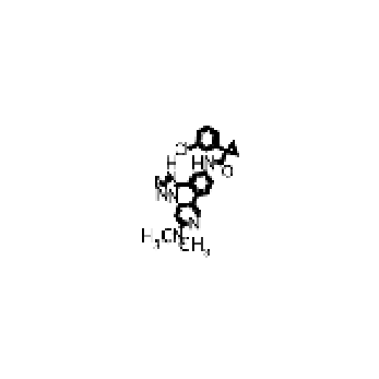 CN(C)c1ccc(-c2ccc(NC(=O)C3(c4cccc(Cl)c4)CC3)cc2-c2nnn[nH]2)cn1